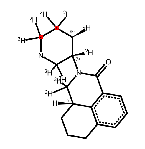 [2H]C1([2H])[C@H]2CCCc3cccc(c32)C(=O)N1[C@]1([2H])C([2H])([2H])N2CC[C@]1([2H])C([2H])([2H])C2([2H])[2H]